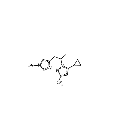 CC(C)n1cnc(CC(C)n2nc(C(F)(F)F)cc2C2CC2)c1